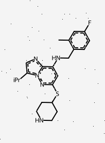 Cc1cc(F)ccc1CNc1cc(SC2CCNCC2)nn2c(C(C)C)cnc12